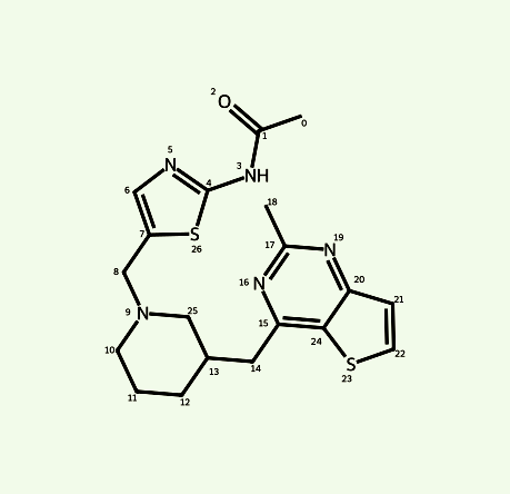 CC(=O)Nc1ncc(CN2CCCC(Cc3nc(C)nc4ccsc34)C2)s1